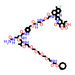 CC[C@@]1(O)C(=O)OCC2C(=O)N3Cc4c(nc5cc(F)c(C)c6c5c4[C@@H](NC(=O)COCNC(=O)CNC(=O)OCc4ccc(NC(=O)[C@H](CCCNC(N)=O)NC(=O)[C@@H](NC(=O)CCOCCOCCOCCOCCNC(=O)COC5C#CCCCCC5)C(C)C)cc4)CC6)C3CC21